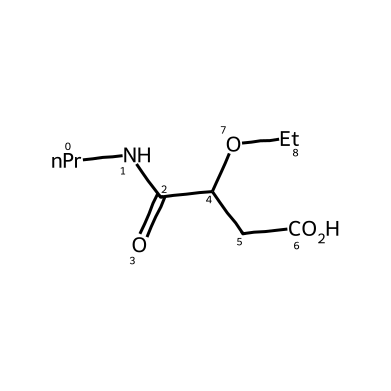 CCCNC(=O)C(CC(=O)O)OCC